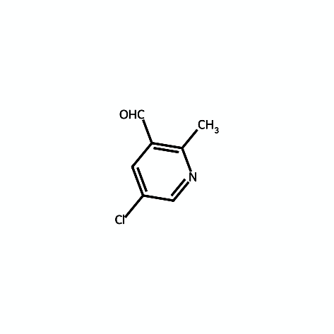 Cc1ncc(Cl)cc1C=O